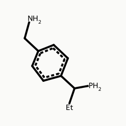 [CH2]CC(P)c1ccc(CN)cc1